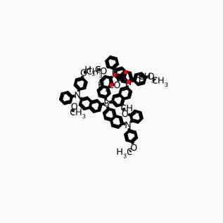 COc1ccc(N(c2ccc3ccc([B-](c4ccc5ccc(N(c6ccc(OC)cc6)c6ccccc6OC)cc5c4)(c4ccc5ccc(N(c6ccc(OC)cc6)c6ccccc6OC)cc5c4)c4ccc5ccc(N(c6ccc(OC)cc6)c6ccccc6OC)cc5c4)cc3c2)c2ccccc2OC)cc1